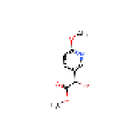 COC(=O)C(Br)c1ccc(OC)nc1